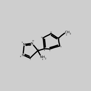 Cc1ccc(C2(N)C=NN=N2)cc1